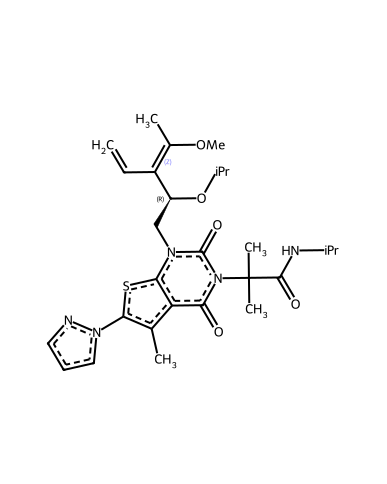 C=C/C(=C(\C)OC)[C@H](Cn1c(=O)n(C(C)(C)C(=O)NC(C)C)c(=O)c2c(C)c(-n3cccn3)sc21)OC(C)C